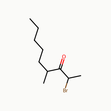 CCCCCC(C)C(=O)C(C)Br